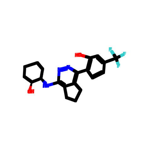 Oc1cc(C(F)(F)F)ccc1-c1nnc(N[C@@H]2CCCC[C@H]2O)c2c1CCC2